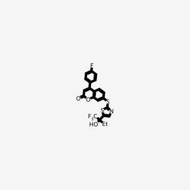 CCC(O)(c1cnc(Sc2ccc3c(-c4ccc(F)cc4)cc(=O)oc3c2)s1)C(F)(F)F